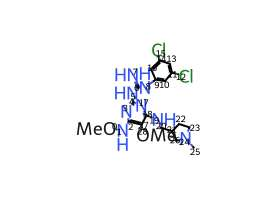 CONc1nc(NC(=N)Nc2cc(Cl)cc(Cl)c2)nc(NCC2CCN(C)C2)c1OC